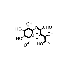 C[C@H](O)[C@H](O)[C@@H](O)[C@H](C=O)O[C@H]1O[C@H](CO)[C@H](O)[C@H](O)[C@H]1O